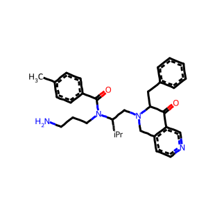 Cc1ccc(C(=O)N(CCCN)C(CN2Cc3ccncc3C(=O)C2Cc2ccccc2)C(C)C)cc1